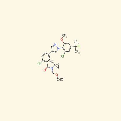 N#CC1(N(COC=O)C(=O)c2cc(-c3cnn(-c4c(Cl)cc(C(F)(C(F)(F)F)C(F)(F)F)cc4OC(F)(F)F)c3)ccc2Cl)CC1